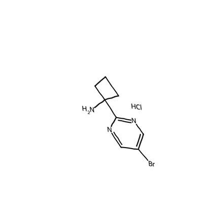 Cl.NC1(c2ncc(Br)cn2)CCC1